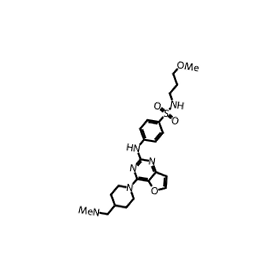 CNCC1CCN(c2nc(Nc3ccc(S(=O)(=O)NCCCOC)cc3)nc3ccoc23)CC1